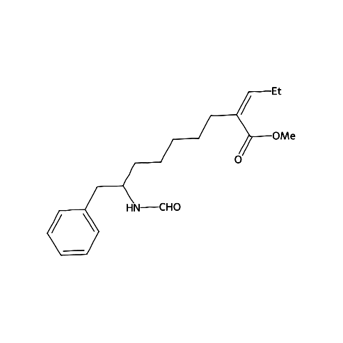 CCC=C(CCCCCC(Cc1ccccc1)NC=O)C(=O)OC